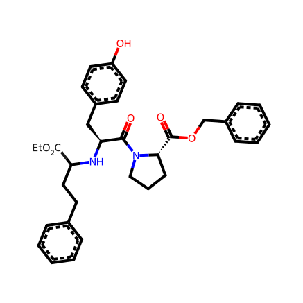 CCOC(=O)C(CCc1ccccc1)N[C@@H](Cc1ccc(O)cc1)C(=O)N1CCC[C@H]1C(=O)OCc1ccccc1